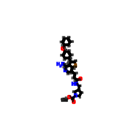 CC(C)(C)OC(=O)N1CCC(CNC(=O)/C=C/c2cnc(N)c3c(-c4ccc(Oc5ccccc5)cc4)csc23)C1